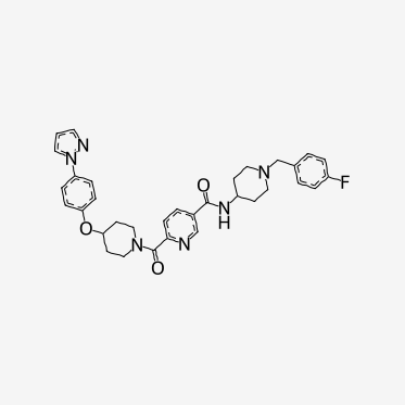 O=C(NC1CCN(Cc2ccc(F)cc2)CC1)c1ccc(C(=O)N2CCC(Oc3ccc(-n4cccn4)cc3)CC2)nc1